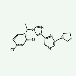 CC(n1cnc(-c2cncc(N3CCCC3)n2)c1)n1ccc(Cl)cc1=O